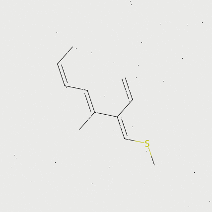 C=CC(=C\SC)/C(C)=C/C=C\C